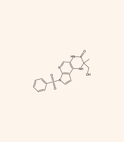 CC1(CO)Nc2c(cnc3c2ccn3S(=O)(=O)c2ccccc2)NC1=O